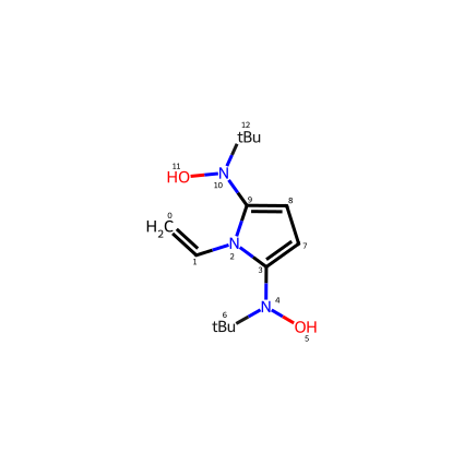 C=Cn1c(N(O)C(C)(C)C)ccc1N(O)C(C)(C)C